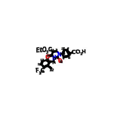 CCOC(=O)c1cn(-c2ccc(C(=O)O)cc2)c(=O)n(Cc2cccc(C(F)(F)F)c2C)c1=O